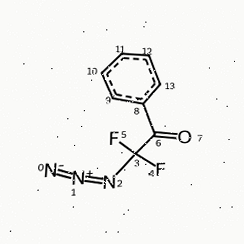 [N-]=[N+]=NC(F)(F)C(=O)c1ccccc1